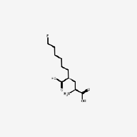 N[C@@H](C[C@H](CCCCCCF)C(=O)O)C(=O)O